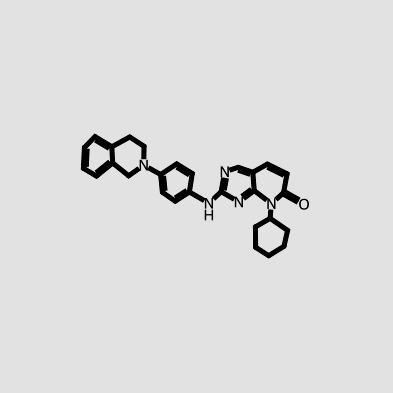 O=c1ccc2cnc(Nc3ccc(N4CCc5ccccc5C4)cc3)nc2n1C1CCCCC1